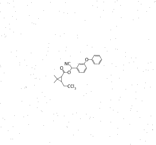 CC1(C)C(CC(Cl)(Cl)Cl)C1C(=O)OC(C#N)c1cccc(Oc2ccccc2)c1